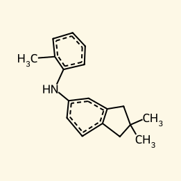 Cc1ccccc1Nc1ccc2c(c1)CC(C)(C)C2